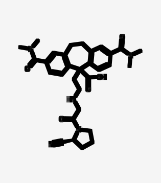 CN(C)C(=O)c1ccc2c(c1)CCc1cc(C(=O)N(C)C)ccc1C2(CCNCC(=O)N1CCC[C@H]1C#N)C(=O)O